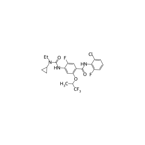 CCN(C(=O)Nc1cc(OC(C)C(F)(F)F)c(C(=O)Nc2c(F)cccc2Cl)cc1F)C1CC1